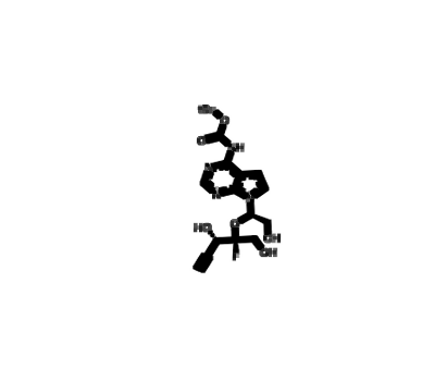 C#C[C@H](O)[C@@](F)(CO)O[C@H](CO)n1ccc2c(NC(=O)OC(C)(C)C)ncnc21